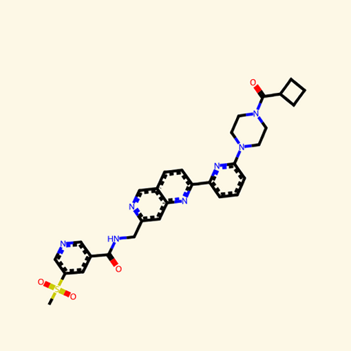 CS(=O)(=O)c1cncc(C(=O)NCc2cc3nc(-c4cccc(N5CCN(C(=O)C6CCC6)CC5)n4)ccc3cn2)c1